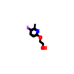 Cc1nc(OCCO)ccc1I